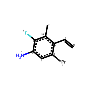 C=Cc1c(C(C)C)cc(N)c(F)c1C